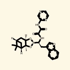 CC1(C)[C@@H]2C[C@H]3OB([C@H](Cc4coc5ccccc45)NC(=O)C(=O)Nc4cnccn4)O[C@@]3(C)[C@H]1C2